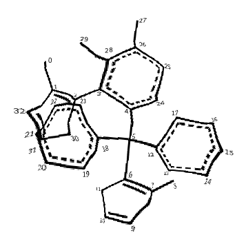 CC1=C(c2c(C(C3=C(C)C=CC3)(c3ccccc3)c3ccccc3)ccc(C)c2C)CC=C1